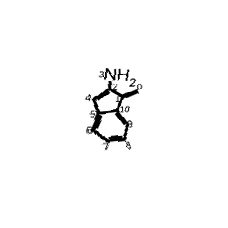 C=C1C(N)=Cc2ccccc21